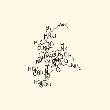 C[C@H](CCCCN)NC(=O)[C@@H]1CCCN1C(=O)[C@H](C)NC(=O)[C@H](Cc1cn(CCP(=O)(O)O)nn1)NC(=O)[C@H](CCCCN)NC(=O)[C@H](C)NC(=O)[C@H](Cc1cn(CCP(=O)(O)O)nn1)NC(=O)C(CCCN)NC(=O)[C@H](C)N